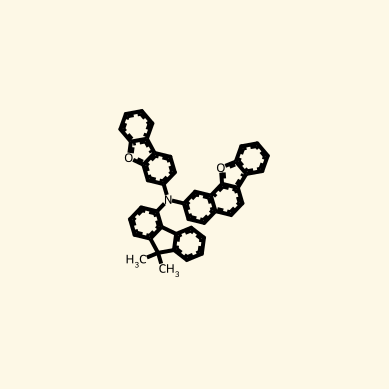 CC1(C)c2ccccc2-c2c(N(c3ccc4c(c3)oc3ccccc34)c3ccc4ccc5c6ccccc6oc5c4c3)cccc21